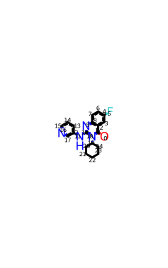 O=c1c2cc(F)ccc2nc(Nc2cccnc2)n1C1CCCCC1